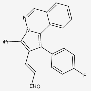 CC(C)c1c(C=CC=O)c(-c2ccc(F)cc2)c2c3ccccc3cnn12